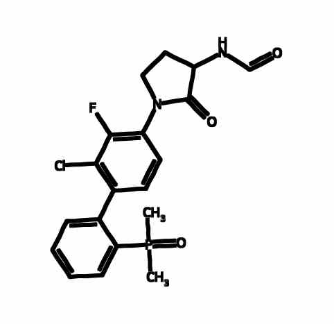 CP(C)(=O)c1ccccc1-c1ccc(N2CCC(NC=O)C2=O)c(F)c1Cl